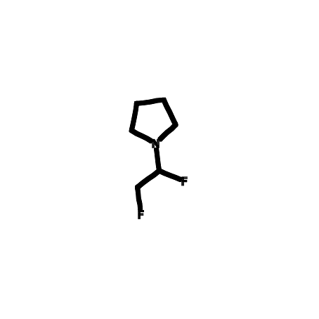 FCC(F)N1CCCC1